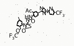 CC(=O)c1cc(-c2ncn(-c3ccc(C(F)(F)F)cn3)n2)ccc1NC(=O)N=C1SCC(=O)N1c1cc(C)ccc1COCC(F)(F)F